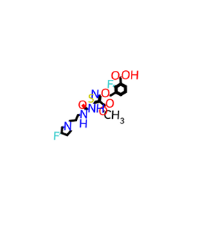 COC(=O)c1c(OCc2cccc(C(=O)O)c2F)nsc1NC(=O)NCCCN1CC[C@H](F)C1